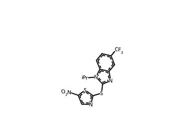 CC(C)n1c(Sc2ncc([N+](=O)[O-])s2)nc2cc(C(F)(F)F)ccc21